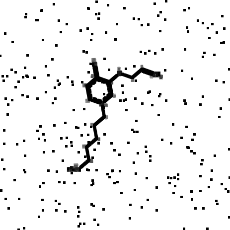 C=CCOc1cn(CCCCCCCCCCCCCC)ccc1=O